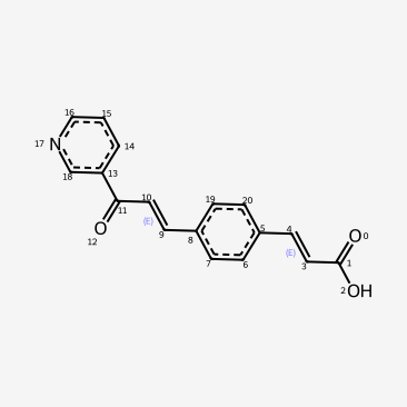 O=C(O)/C=C/c1ccc(/C=C/C(=O)c2cccnc2)cc1